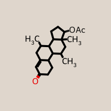 CC(=O)OC1CCC2C3C(C)CC4=CC(=O)CCC4C3C(C)CC12C